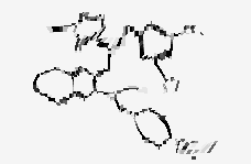 CCN(C[C@H]1CC[C@H](C(=O)O)CC1)c1cc2c(cc1CN(Cc1cc(C(F)(F)F)cc(C(F)(F)F)c1)c1nnn(C)n1)CCCC2